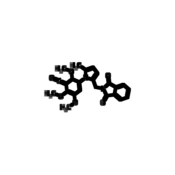 COC1=C(OC)C(=C=O)C(OC)C(n2c(C)ccc2CN2C(=O)c3ccccc3C2=O)=C1